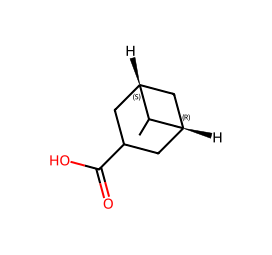 CC1[C@@H]2CC(C(=O)O)C[C@H]1C2